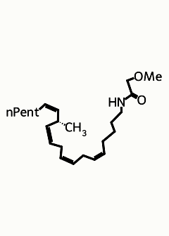 CCCCC/C=C\[C@H](C)/C=C\C/C=C\C/C=C\CCCCNC(=O)COC